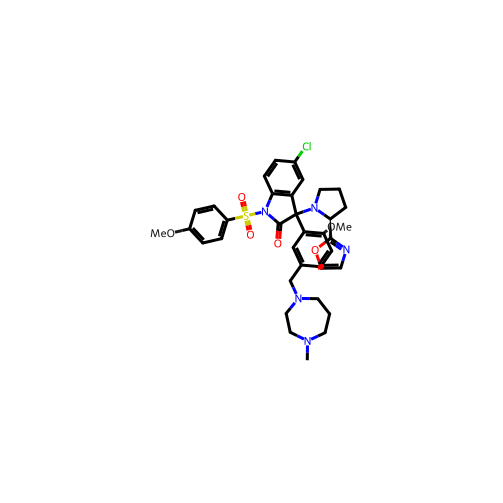 COc1ccc(S(=O)(=O)N2C(=O)C(c3cc(CN4CCCN(C)CC4)ccc3OC)(N3CCC[C@H]3c3ncco3)c3cc(Cl)ccc32)cc1